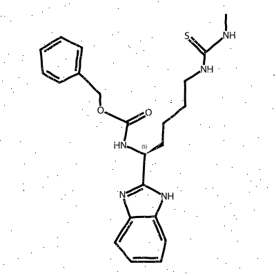 CNC(=S)NCCCC[C@H](NC(=O)OCc1ccccc1)c1nc2ccccc2[nH]1